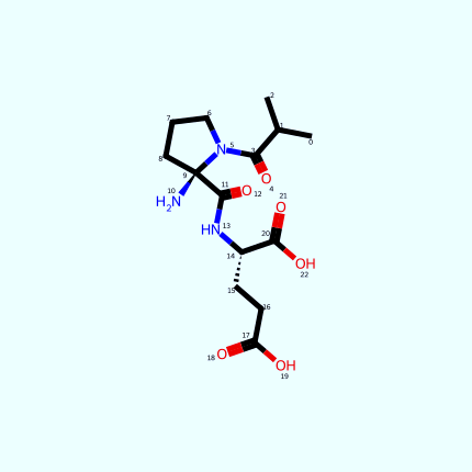 CC(C)C(=O)N1CCC[C@@]1(N)C(=O)N[C@@H](CCC(=O)O)C(=O)O